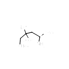 CCCCCCCC(C=O)(CC)C[C@H](N)C=O